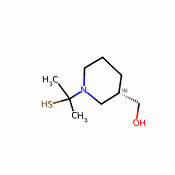 CC(C)(S)N1CCC[C@H](CO)C1